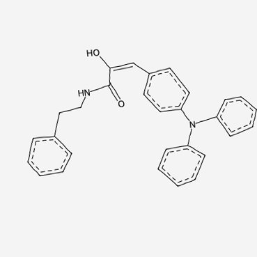 O=C(NCCc1ccccc1)/C(O)=C\c1ccc(N(c2ccccc2)c2ccccc2)cc1